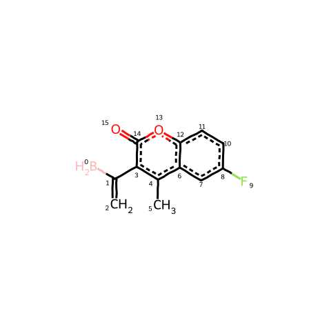 BC(=C)c1c(C)c2cc(F)ccc2oc1=O